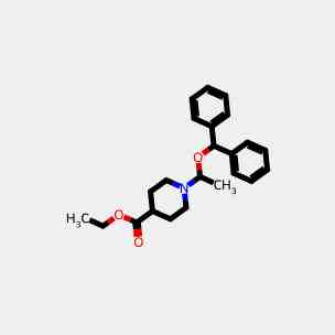 CCOC(=O)C1CCN(C(C)OC(c2ccccc2)c2ccccc2)CC1